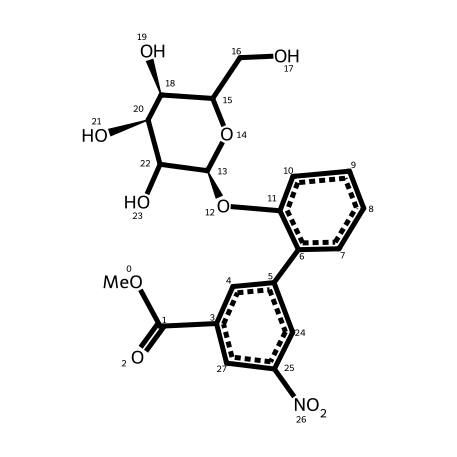 COC(=O)c1cc(-c2ccccc2O[C@@H]2OC(CO)[C@H](O)[C@H](O)C2O)cc([N+](=O)[O-])c1